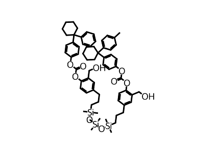 Cc1ccc(C2(c3ccc(OC(=O)Oc4ccc(CCC[Si](C)(C)O[Si](C)(C)O[Si](C)(C)CCCc5ccc(OC(=O)Oc6ccc(C7(c8ccccc8)CCCCC7)cc6)c(CO)c5)cc4CO)cc3)CCCCC2)cc1